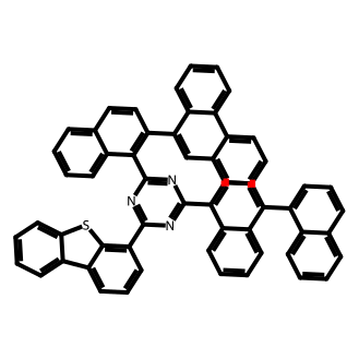 c1ccc2c(-c3ccc(-c4nc(-c5c(-c6cc7ccccc7c7ccccc67)ccc6ccccc56)nc(-c5cccc6c5sc5ccccc56)n4)c4ccccc34)cccc2c1